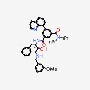 CCCN(CCC)C(=O)c1cc(C(=O)N[C@@H](Cc2ccccc2)[C@H](O)CNCc2cccc(OC)c2)cc(-c2cccc3cccnc23)c1